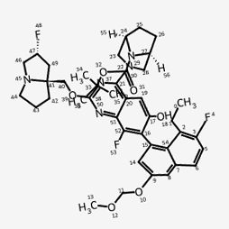 CCc1c(F)ccc2cc(OCOC)cc(-c3c(O)cc4c(N5C[C@H]6CC[C@@H](C5)N6C(=O)OC(C)(C)C)nc(OC[C@@]56CCCN5C[C@H](F)C6)nc4c3F)c12